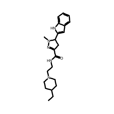 CCC1CCN(CCNC(=O)C2=NN(C)C(c3cc4ccccc4[nH]3)C2)CC1